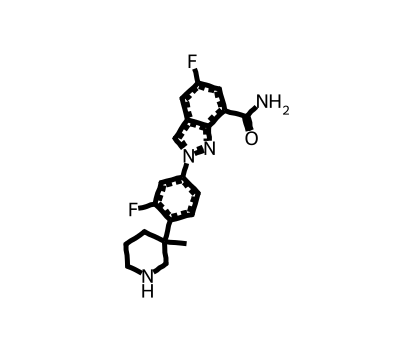 CC1(c2ccc(-n3cc4cc(F)cc(C(N)=O)c4n3)cc2F)CCCNC1